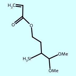 C=CC(=O)OCCC([SiH3])C(OC)OC